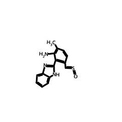 Cc1ccc(C=S=O)c(-c2nc3ccccc3[nH]2)c1N